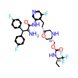 CC[C@@H](NC(=O)OC[C@@H]1CO[C@H](CCc2c(F)cncc2NC(=O)[C@@H](N)C(c2ccc(F)cc2)c2ccc(F)cc2)CN1)C(F)(F)F